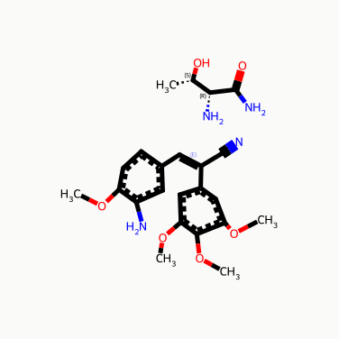 COc1ccc(/C=C(/C#N)c2cc(OC)c(OC)c(OC)c2)cc1N.C[C@H](O)[C@@H](N)C(N)=O